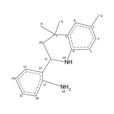 Cc1ccc2c(c1)C(C)(C)CC(c1ccccc1N)N2